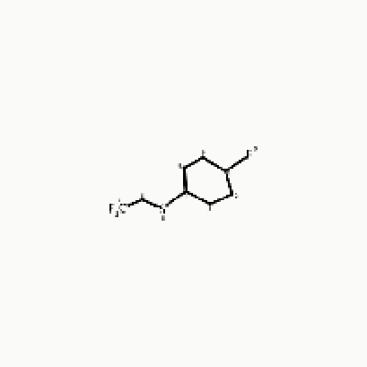 FC1CCC(SCC(F)(F)F)CC1